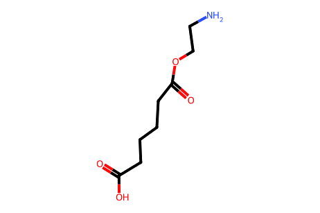 NCCOC(=O)CCCCC(=O)O